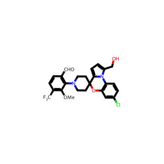 COc1c(C(F)(F)F)ccc(C=O)c1N1CCC2(CC1)Oc1cc(Cl)ccc1-n1c(CO)ccc12